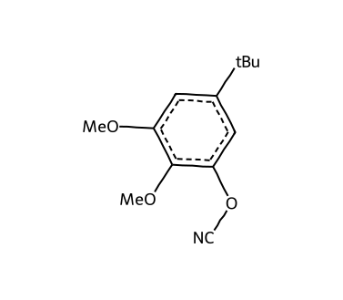 COc1cc(C(C)(C)C)cc(OC#N)c1OC